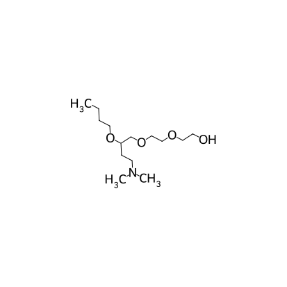 CCCCOC(CCN(C)C)COCCOCCO